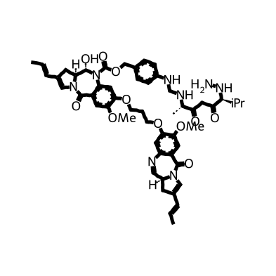 C/C=C/C1=CN2C(=O)c3cc(OC)c(OCCCOc4cc5c(cc4OC)C(=O)N4C=C(/C=C/C)C[C@H]4[C@H](O)N5C(=O)OCc4ccc(NCN[C@@H](C)C(=O)CC(=O)[C@@H](NN)C(C)C)cc4)cc3N=C[C@@H]2C1